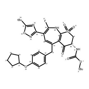 CC(C)(C)OC(=O)N[C@H]1CS(=O)(=O)C2=C(C1=O)C(Cc1ccc(OC3CCCC3)cc1)=CC(c1noc(C(C)(C)C)n1)=C(F)N2